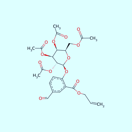 C=CCOC(=O)c1cc(C=O)ccc1O[C@@H]1O[C@H](COC(C)=O)[C@H](OC(C)=O)[C@H](OC(C)=O)[C@H]1OC(C)=O